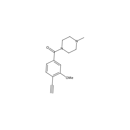 [C]#Cc1ccc(C(=O)N2CCN(C)CC2)cc1OC